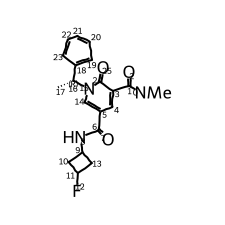 CNC(=O)c1cc(C(=O)NC2CC(F)C2)cn([C@H](C)c2ccccc2)c1=O